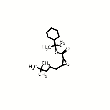 CC(C)(C)CCCC1OC1C(=O)OC(C)(C)C1CCCCC1